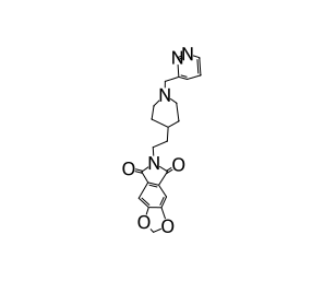 O=C1c2cc3c(cc2C(=O)N1CCC1CCN(Cc2cccnn2)CC1)OCO3